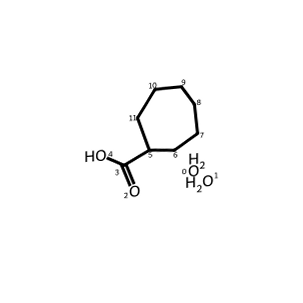 O.O.O=C(O)C1CCCCCC1